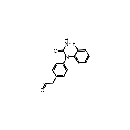 NC(=O)N(c1ccc(C[C]=O)cc1)c1ccccc1F